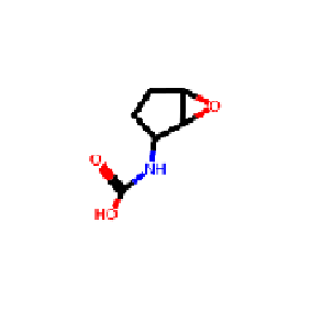 O=C(O)NC1CCC2OC12